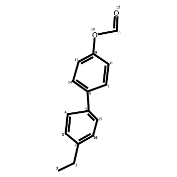 CCc1ccc(-c2ccc(OC=O)cc2)cc1